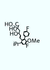 COc1c(F)cc(C(C)C)c(/C=C/C(O)CC(O)CC(=O)O)c1-c1ccc(F)cc1